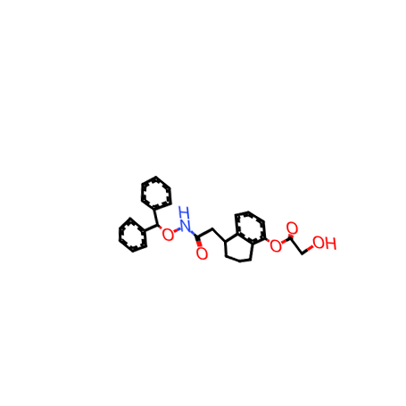 O=C(CC1CCCc2c(OC(=O)CO)cccc21)NOC(c1ccccc1)c1ccccc1